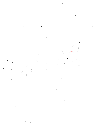 c1ccc2c(c1)COc1cccc(-n3c4ccccc4c4cc(-c5ccc6c(c5)-c5ccccc5C(c5ccc7ccccc7c5)C6)ccc43)c1-2